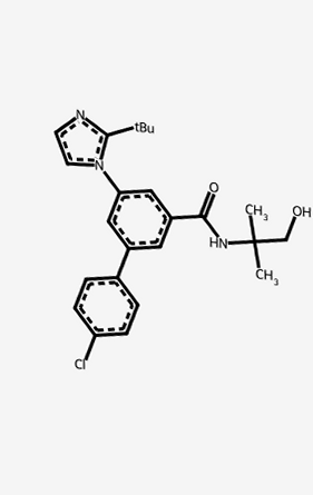 CC(C)(CO)NC(=O)c1cc(-c2ccc(Cl)cc2)cc(-n2ccnc2C(C)(C)C)c1